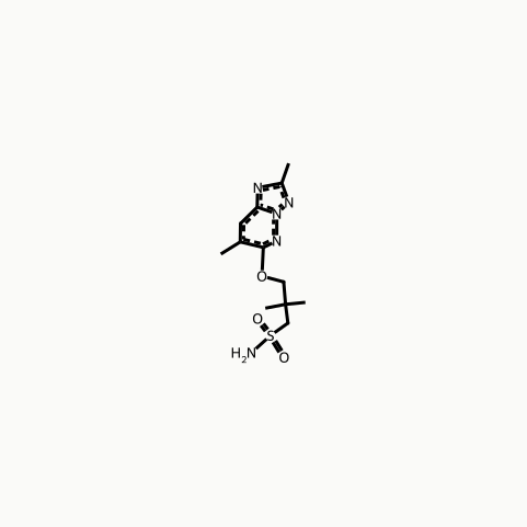 Cc1nc2cc(C)c(OCC(C)(C)CS(N)(=O)=O)nn2n1